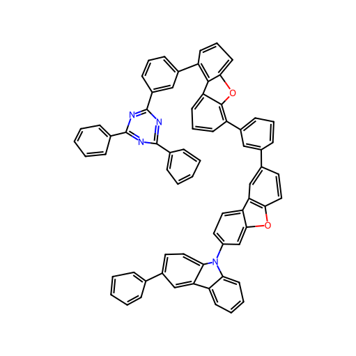 c1ccc(-c2ccc3c(c2)c2ccccc2n3-c2ccc3c(c2)oc2ccc(-c4cccc(-c5cccc6c5oc5cccc(-c7cccc(-c8nc(-c9ccccc9)nc(-c9ccccc9)n8)c7)c56)c4)cc23)cc1